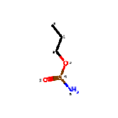 CCCOS(N)=O